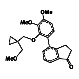 COCC1(COc2c(-c3cccc4c3CCC4=O)ccc(OC)c2OC)CC1